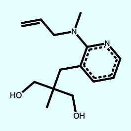 C=CCN(C)c1ncccc1CC(C)(CO)CO